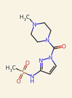 CN1CCN(C(=O)n2ccc(NS(C)(=O)=O)n2)CC1